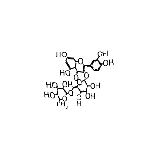 CC1OC(OCC2OC(OC3=C(c4ccc(O)c(O)c4)OC4C=C(O)C=C(O)C4C3=O)C(O)C(O)C2O)C(O)C(O)C1O